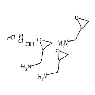 Cl.Cl.Cl.NCC1CO1.NCC1CO1.NCC1CO1